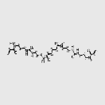 C=CC(=O)N(C)CCCNC(=O)NCCCN(C)C(=O)/C=C/C=C/C(=O)N(CC)CCCNC(=O)NCCCN(CC)C(=O)C=C